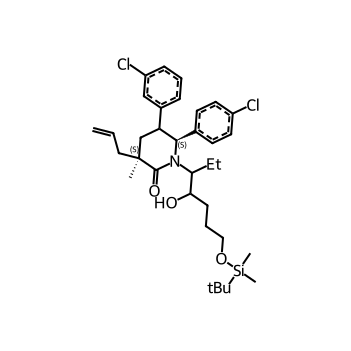 C=CC[C@@]1(C)CC(c2cccc(Cl)c2)[C@@H](c2ccc(Cl)cc2)N(C(CC)C(O)CCCO[Si](C)(C)C(C)(C)C)C1=O